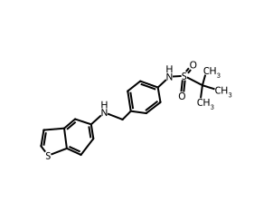 CC(C)(C)S(=O)(=O)Nc1ccc(CNc2ccc3sccc3c2)cc1